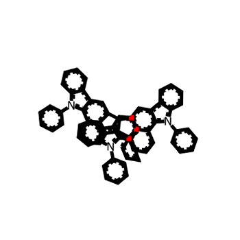 c1ccc(-n2c3ccccc3c3cc4c5c(cccc5c32)C23c5cccc6c5c(cc5c7ccccc7n(-c7ccccc7)c65)C42c2cc4c5ccccc5n(-c5ccccc5)c4c4cccc3c24)cc1